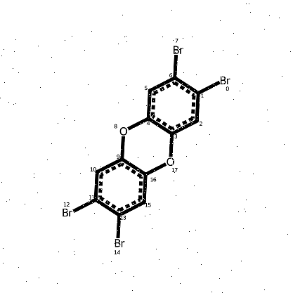 Brc1cc2c(cc1Br)Oc1cc(Br)c(Br)cc1O2